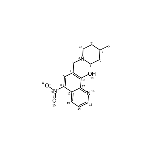 CC1CCN(Cc2cc([N+](=O)[O-])c3cccnc3c2O)CC1